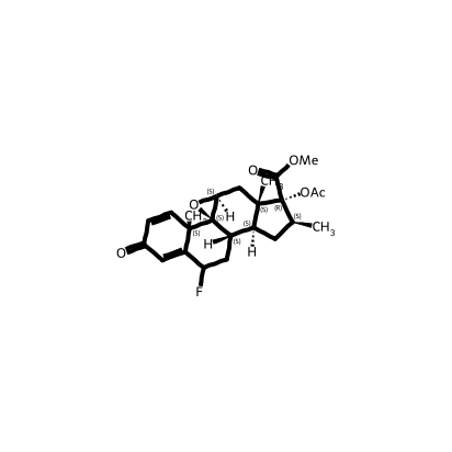 COC(=O)[C@@]1(OC(C)=O)[C@@H](C)C[C@H]2[C@@H]3CC(F)C4=CC(=O)C=C[C@]4(C)[C@@]34O[C@H]4C[C@@]21C